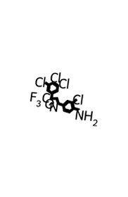 NCc1ccc(C2=NOC(c3cc(Cl)c(Cl)c(Cl)c3)(C(F)(F)F)C2)cc1Cl